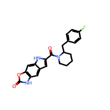 O=C(c1cc2cc3[nH]c(=O)oc3cc2[nH]1)N1CCCCC1Cc1ccc(F)cc1